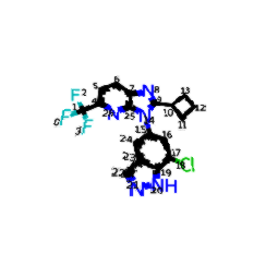 FC(F)(F)c1ccc2nc(C3CCC3)n(-c3cc(Cl)c4[nH]ncc4c3)c2n1